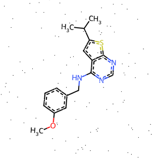 COc1cccc(CNc2ncnc3sc(C(C)C)cc23)c1